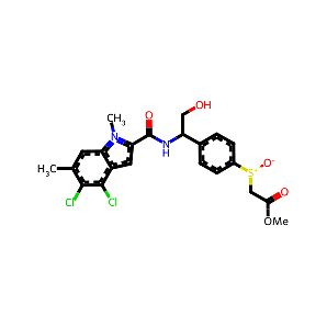 COC(=O)C[S@@+]([O-])c1ccc(C(CO)NC(=O)c2cc3c(Cl)c(Cl)c(C)cc3n2C)cc1